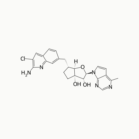 Cc1ncnc2c1ccn2[C@@H]1O[C@@H]2[C@@H](Cc3ccc4cc(Cl)c(N)nc4c3)CC[C@]2(O)[C@H]1O